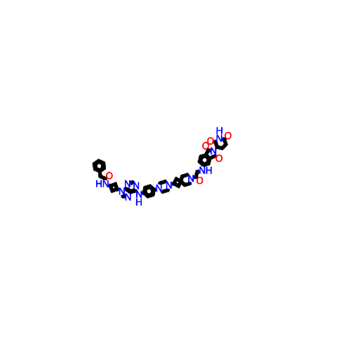 O=C1CC[C@H](N2C(=O)c3ccc(NCC(=O)N4CCC5(CC4)CC(N4CCN(c6ccc(Nc7ncnc8c7ncn8C7CC(NC(=O)Cc8ccccc8)C7)cc6)CC4)C5)cc3C2=O)C(=O)N1